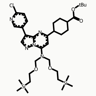 CC(C)(C)OC(=O)C1CCC(c2cc(N(COCC[Si](C)(C)C)COCC[Si](C)(C)C)n3ncc(-c4ccc(Cl)nc4)c3n2)CC1